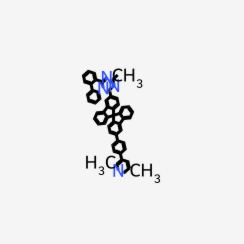 Cc1cnc(C)c(-c2ccc(-c3ccc4c(c3)-c3ccccc3C43c4ccccc4-c4cc(-c5nc(C)nc(-c6ccccc6-c6ccccc6)n5)ccc43)cc2)c1